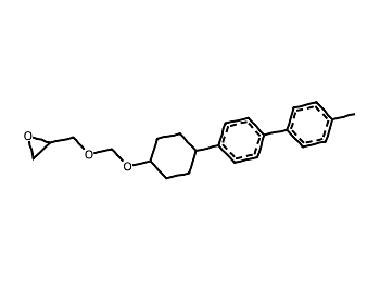 Cc1ccc(-c2ccc(C3CCC(OCOCC4CO4)CC3)cc2)cc1